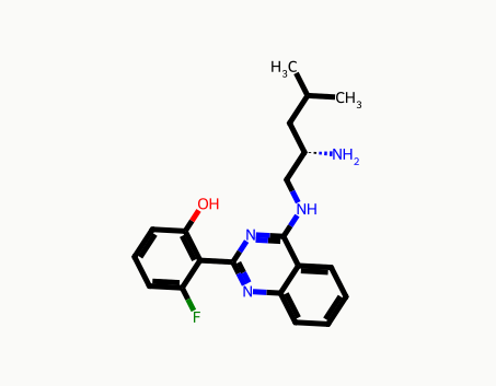 CC(C)C[C@H](N)CNc1nc(-c2c(O)cccc2F)nc2ccccc12